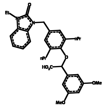 CCCc1cc(Cn2c(=O)n(CC)c3ccccc32)cc(CCC)c1OC(C(=O)O)c1cc(OC)cc(OC)c1